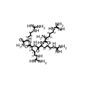 N=C(N)NCCC[C@H](NC(=O)[C@H](CCCNC(=N)N)NC(=O)[C@H](CCCNC(=N)N)NC(=O)[C@@H](N)CCCNC(=N)N)C(N)=O